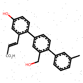 Cc1cccc(-c2ccc(-c3ccc(O)cc3C=CC(=O)O)cc2CO)c1